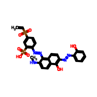 C=CS(=O)(=O)c1ccc(/N=N/c2c(NC)ccc3c(O)c(/N=N/c4ccccc4O)ccc23)c(S(=O)(=O)O)c1